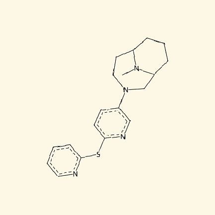 CN1C2CCCC1CN(c1ccc(Sc3ccccn3)nc1)CC2